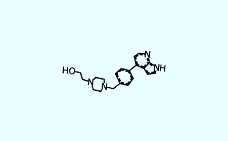 OCCN1CCN(Cc2ccc(-c3ccnc4[nH]ccc34)cc2)CC1